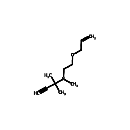 C#CC(C)(C)N(C)CCOCC=C